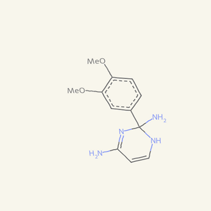 COc1ccc(C2(N)N=C(N)C=CN2)cc1OC